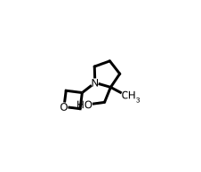 CC1(CO)CCCN1C1COC1